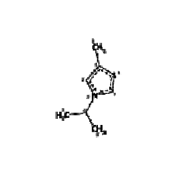 Cc1c[n+](C(C)C)cs1